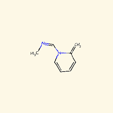 C=C1C=CC=CN1/C=N\C